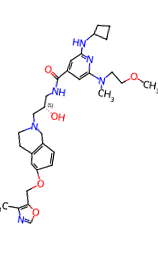 COCCN(C)c1cc(C(=O)NC[C@H](O)CN2CCc3cc(OCc4ocnc4C)ccc3C2)cc(NC2CCC2)n1